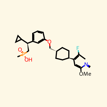 C=N/C(=C\C(=C(/C)F)[C@H]1CC[C@H](COc2cccc([C@@H](CP(C)(=O)O)C3CC3)c2)CC1)OC